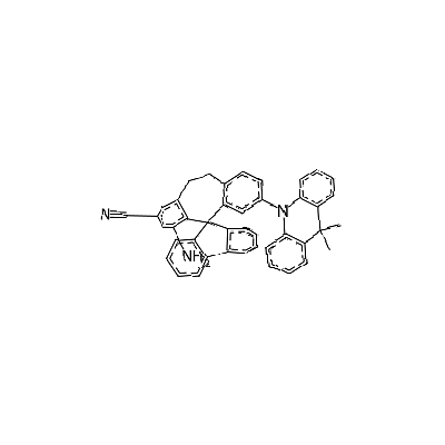 CC1(C)c2ccccc2N(c2ccc3c(c2)C2(c4ccccc4-c4ccccc42)c2c(N)cc(C#N)cc2CC3)c2ccccc21